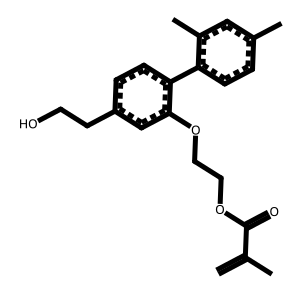 C=C(C)C(=O)OCCOc1cc(CCO)ccc1-c1ccc(C)cc1C